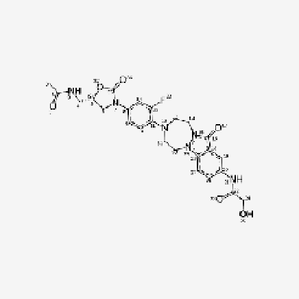 CC(=O)NC[C@H]1CN(c2ccc(N3CCn4c(=O)c5cc(NC(=O)CO)ccc5n4CC3)c(F)c2)C(=O)O1